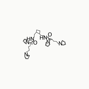 O=C(NCCC1CCC1CCNC(=O)[C@H](CCCCn1cccc1)n1cccc1)[C@@H](CCCCn1cccc1)n1cccc1